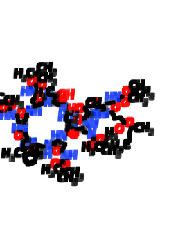 CCCC(C)OC(=O)CCC(=O)N[C@@H](CCNC(=O)OC(C)(C)C)C(=O)N[C@H](C(=O)N[C@@H](CNC(=O)OC(C)(C)C)C(=O)N[C@H]1CCNC(=O)[C@H]([C@H](C)O)NC(=O)[C@H](CCNC(=O)OC(C)(C)C)NC(=O)[C@H](CCNC(=O)OC(C)(C)C)NC(=O)[C@H](CC(C)C)NC(=O)[C@@H](Cc2ccccc2)NC(=O)[C@H](CCNC(=O)OC(C)(C)C)NC1=O)C(C)O